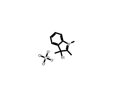 CCC1(C)C(C)=[N+](C)c2ccccc21.[O-][Cl+3]([O-])([O-])[O-]